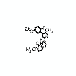 CCOc1ccc(F)c(-c2cc([C@H]3CC[C@@]4(CCN(C)C4=O)N3)ncc2C)c1